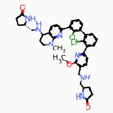 COc1nc(-c2cccc(-c3cccc(-c4ccc5c(n4)N(C)CCC5NC[C@@H]4CCC(=O)N4)c3Cl)c2Cl)ccc1CNCC1CCC(=O)N1